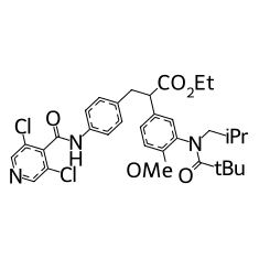 CCOC(=O)C(Cc1ccc(NC(=O)c2c(Cl)cncc2Cl)cc1)c1ccc(OC)c(N(CC(C)C)C(=O)C(C)(C)C)c1